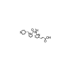 [2H]N(C(=O)c1cccn1Cc1ccncc1)c1nc(/C=C/C(=O)O)cs1